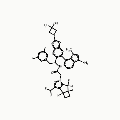 Cn1nc(N)c2cccc(-c3cc4sc(N5CC(C)(O)C5)nc4nc3[C@H](Cc3cc(F)cc(F)c3)NC(=O)Cn3nc(C(F)F)c4c3C(F)(F)[C@@H]3CC[C@H]43)c21